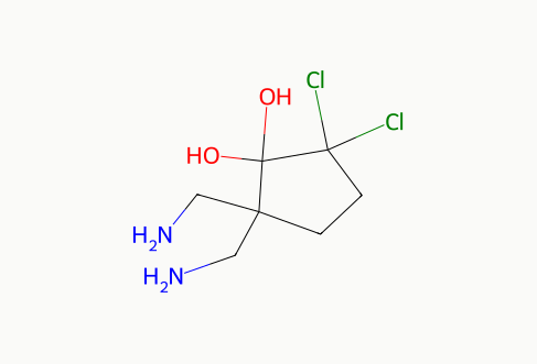 NCC1(CN)CCC(Cl)(Cl)C1(O)O